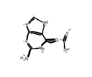 Nc1nc2nc[nH]c2c(=O)[nH]1.O=CO